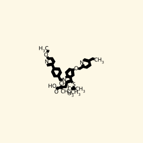 CCOc1ccc(-c2ccc(Cn3c(CC(C)(C)C(=O)O)c(SC(C)(C)C)c4cc(OCc5ccc(CC)cn5)ccc43)cc2)cn1